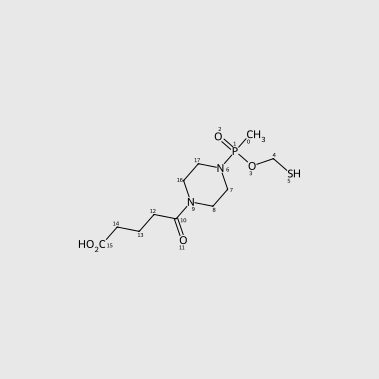 CP(=O)(OCS)N1CCN(C(=O)CCCC(=O)O)CC1